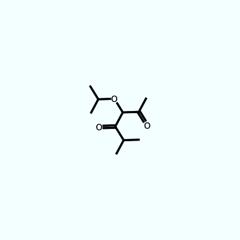 CC(=O)C(OC(C)C)C(=O)C(C)C